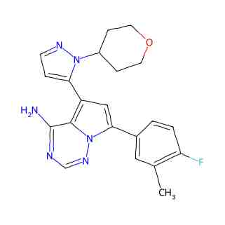 Cc1cc(-c2cc(-c3ccnn3C3CCOCC3)c3c(N)ncnn23)ccc1F